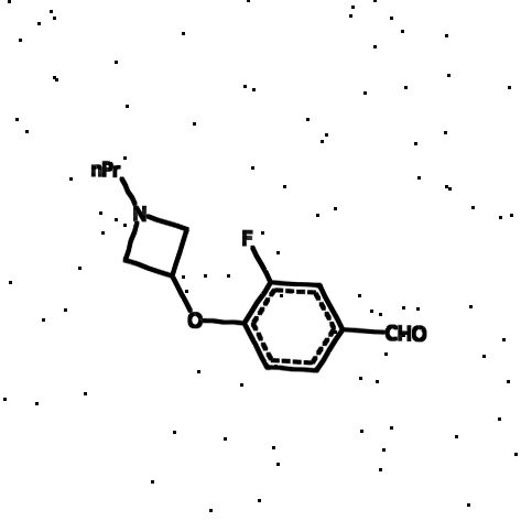 CCCN1CC(Oc2ccc(C=O)cc2F)C1